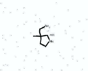 CC1(CN)CCNC1.Cl